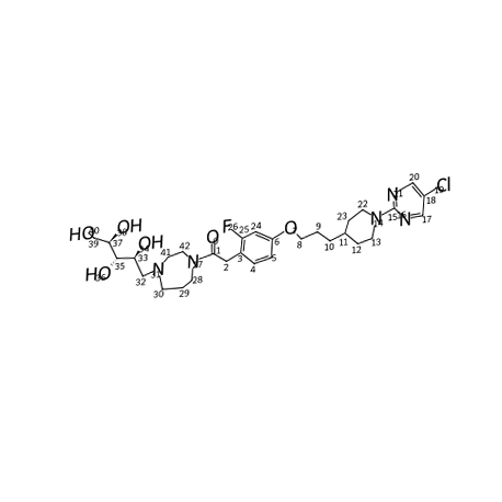 O=C(Cc1ccc(OCCCC2CCN(c3ncc(Cl)cn3)CC2)cc1F)N1CCCN(C[C@H](O)[C@H](O)[C@H](O)CO)CC1